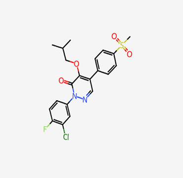 CC(C)COc1c(-c2ccc(S(C)(=O)=O)cc2)cnn(-c2ccc(F)c(Cl)c2)c1=O